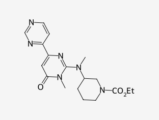 CCOC(=O)N1CCCC(N(C)c2nc(-c3ccncn3)cc(=O)n2C)C1